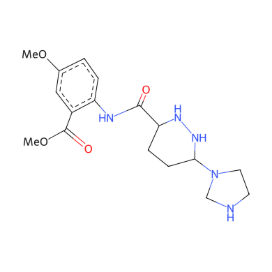 COC(=O)c1cc(OC)ccc1NC(=O)C1CCC(N2CCNC2)NN1